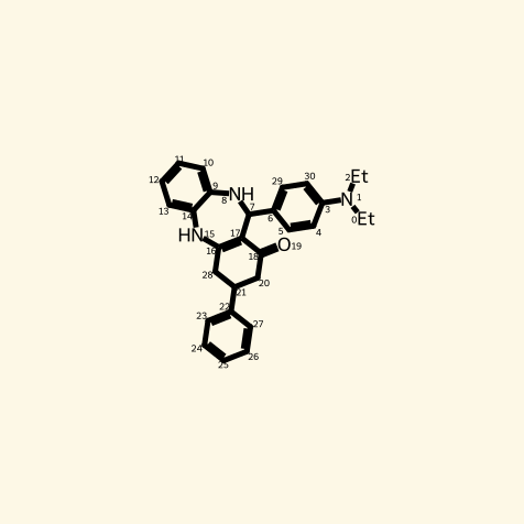 CCN(CC)c1ccc(C2Nc3ccccc3NC3=C2C(=O)CC(c2ccccc2)C3)cc1